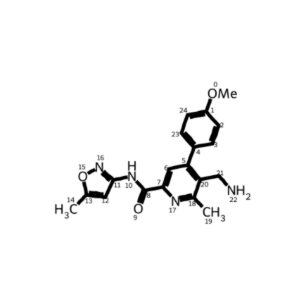 COc1ccc(-c2cc(C(=O)Nc3cc(C)on3)nc(C)c2CN)cc1